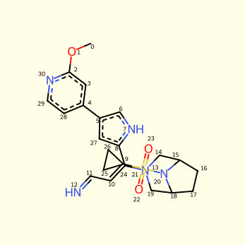 COc1cc(-c2c[nH]c(/C(=C\C=N)N3CC4CCC(C3)N4S(=O)(=O)C3CC3)c2)ccn1